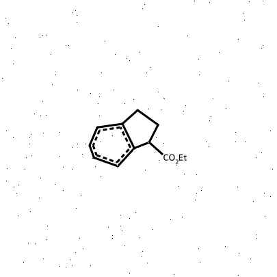 [CH2]COC(=O)C1CCc2ccccc21